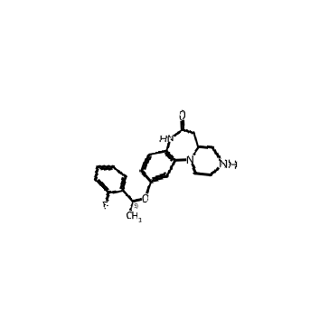 C[C@H](Oc1ccc2c(c1)N1CCNCC1CC(=O)N2)c1ccccc1F